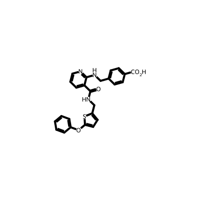 O=C(O)c1ccc(CNc2ncccc2C(=O)NCc2ccc(Oc3ccccc3)s2)cc1